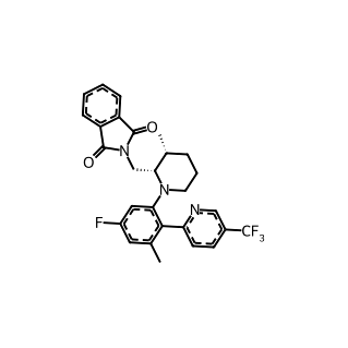 Cc1cc(F)cc(N2CCC[C@@H](C)[C@H]2CN2C(=O)c3ccccc3C2=O)c1-c1ccc(C(F)(F)F)cn1